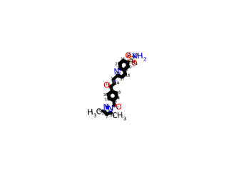 Cc1cc(C)n(C(=O)c2ccc(C(=O)/C=C/c3ccc4cc(S(N)(=O)=O)ccc4n3)cc2)n1